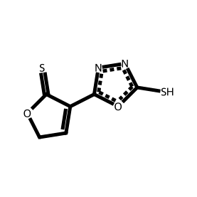 S=C1OCC=C1c1nnc(S)o1